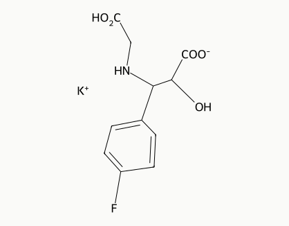 O=C(O)CNC(c1ccc(F)cc1)C(O)C(=O)[O-].[K+]